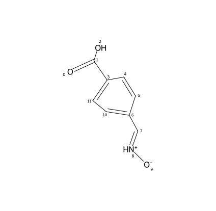 O=C(O)c1ccc(C=[NH+][O-])cc1